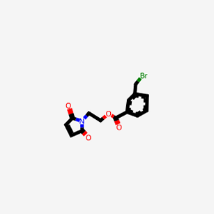 O=C(OCCN1C(=O)C=CC1=O)c1cccc(CBr)c1